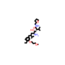 CCc1ccc(CC(C[C@H](N)[C@@H](O)C[C@H](C(=O)NCC2CCCO2)C(C)C)C(C)C)cc1OCCCOC